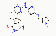 Cc1c(-c2nc(Nc3ccc(N4CC5(CCN(C)C5)C4)cn3)ncc2F)sc2c1C(=O)N(C)CC21CC1